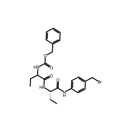 CCC(NC(=O)OCc1ccccc1)C(=O)N[C@@H](CC)C(=O)Nc1ccc(CBr)cc1